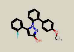 COc1ccc(-c2ccccc2-n2nc(O)cc2-c2ccccc2F)cc1